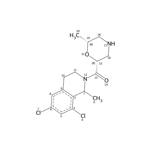 CC1c2c(Cl)cc(Cl)cc2CCN1C(=O)[C@H]1CNC[C@@H](C)O1